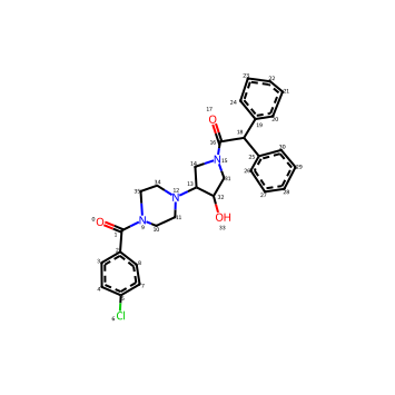 O=C(c1ccc(Cl)cc1)N1CCN(C2CN(C(=O)C(c3ccccc3)c3ccccc3)CC2O)CC1